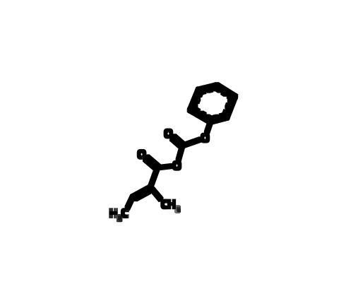 C/C=C(\C)C(=O)OC(=O)Oc1ccccc1